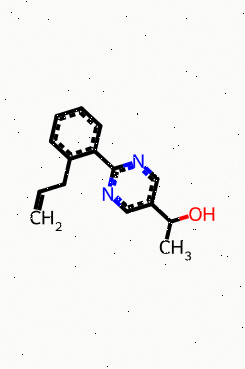 C=CCc1ccccc1-c1ncc(C(C)O)cn1